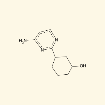 Nc1ccnc(C2CCCC(O)C2)n1